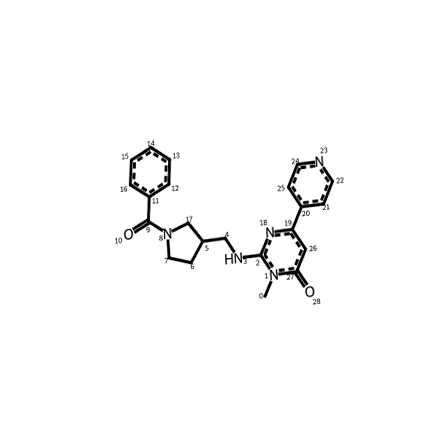 Cn1c(NCC2CCN(C(=O)c3ccccc3)C2)nc(-c2ccncc2)cc1=O